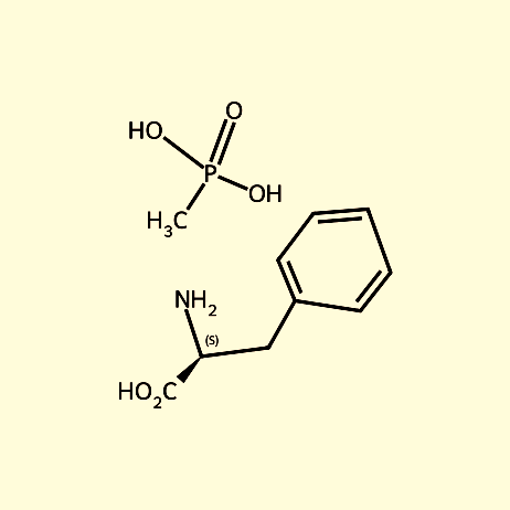 CP(=O)(O)O.N[C@@H](Cc1ccccc1)C(=O)O